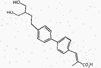 CC(=Cc1ccc(-c2ccc(CCC(CO)CO)cc2)cc1)C(=O)O